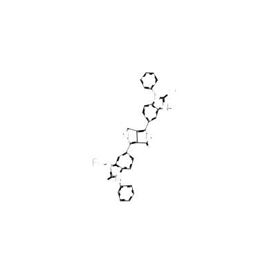 CCn1c(=O)n(-c2ccccc2)c2ccc(C3=C4C(=O)NC(c5ccc6c(c5)n(CC)c(=O)n6-c5ccccc5)=C4C(=O)N3)cc21